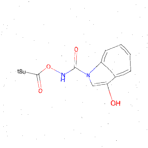 CC(C)(C)C(=O)ONC(=O)n1cc(O)c2ccccc21